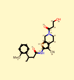 COc1ccccc1C(C)CC(=O)Nc1sc2c(c1C#N)CCN(C(=O)CCO)C2